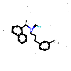 C[C@H](c1cccc2ccccc12)/[N+](=C/F)CCCc1cccc(C(F)(F)F)c1